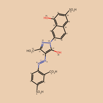 O=C(O)c1cc(S(=O)(=O)O)ccc1/N=N/c1c(C(=O)O)nn(-c2ccc3cc(S(=O)(=O)O)cc(O)c3c2)c1O